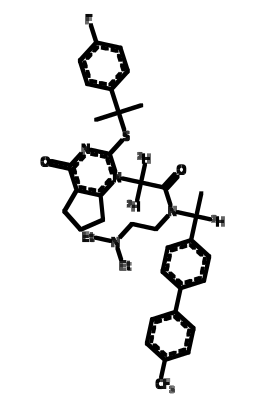 [2H]C(C)(c1ccc(-c2ccc(C(F)(F)F)cc2)cc1)N(CCN(CC)CC)C(=O)C([2H])([2H])n1c(SC(C)(C)c2ccc(F)cc2)nc(=O)c2c1CCC2